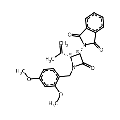 C=C(C)[C@@H]1[C@H](N2C(=O)c3ccccc3C2=O)C(=O)N1Cc1ccc(OC)cc1OC